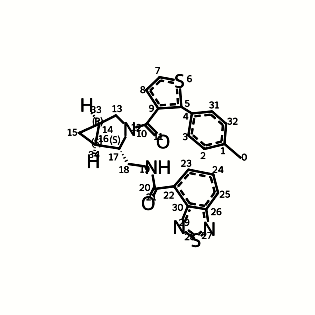 Cc1ccc(-c2sccc2C(=O)N2C[C@@H]3C[C@@H]3[C@H]2CNC(=O)c2cccc3nsnc23)cc1